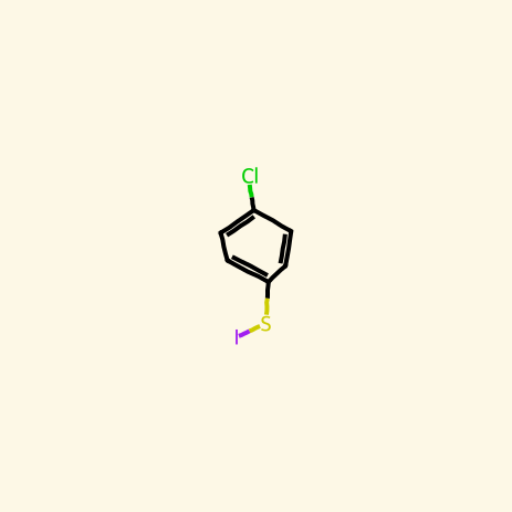 Clc1ccc(SI)cc1